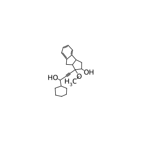 COC1(C#CC(O)C2CCCCC2)C(O)CC2c3ccccc3CC21